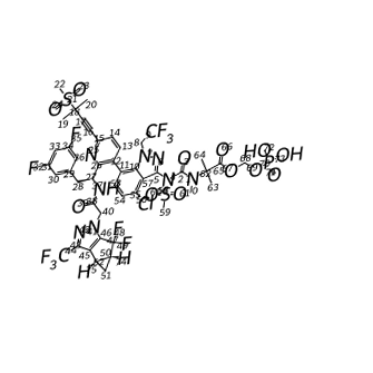 CN(C(=O)N(c1nn(CC(F)(F)F)c2c(-c3ccc(C#CC(C)(C)S(C)(=O)=O)nc3[C@H](Cc3cc(F)cc(F)c3)NC(=O)Cn3nc(C(F)(F)F)c4c3C(F)(F)[C@@H]3C[C@H]43)ccc(Cl)c12)S(C)(=O)=O)C(C)(C)C(=O)OCOP(=O)(O)O